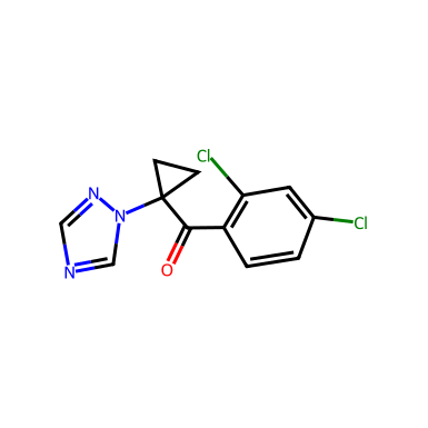 O=C(c1ccc(Cl)cc1Cl)C1(n2cncn2)CC1